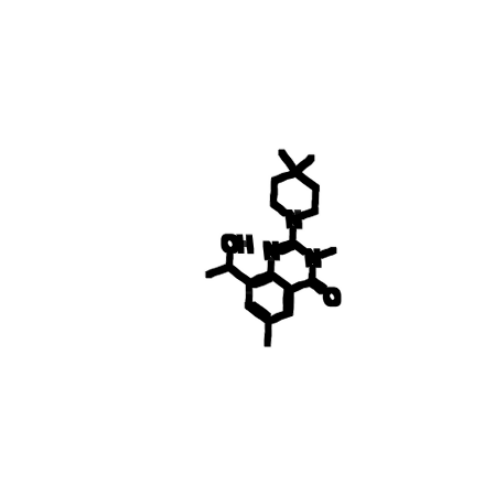 Cc1cc(C(C)O)c2nc(N3CCC(C)(C)CC3)n(C)c(=O)c2c1